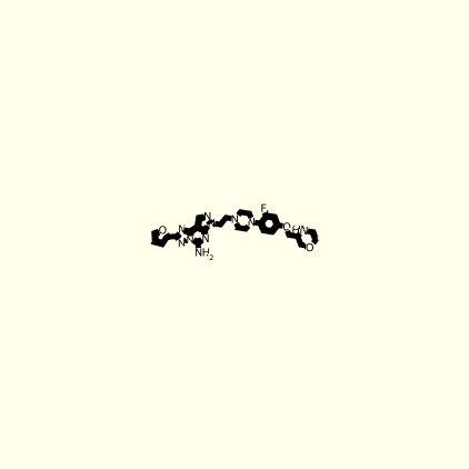 Nc1nc2c(cnn2CCN2CCN(c3ccc(OCC4COCCN4)cc3F)CC2)c2nc(-c3ccco3)nn12